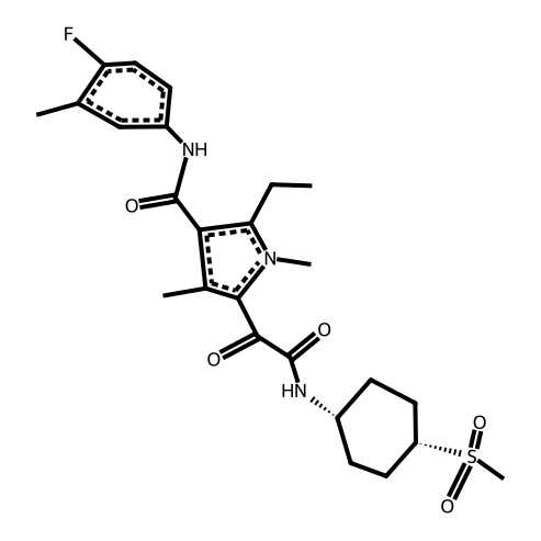 CCc1c(C(=O)Nc2ccc(F)c(C)c2)c(C)c(C(=O)C(=O)N[C@H]2CC[C@@H](S(C)(=O)=O)CC2)n1C